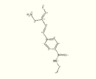 CCNC(=O)c1ccc(/C=C/C(=C/F)CN)cc1